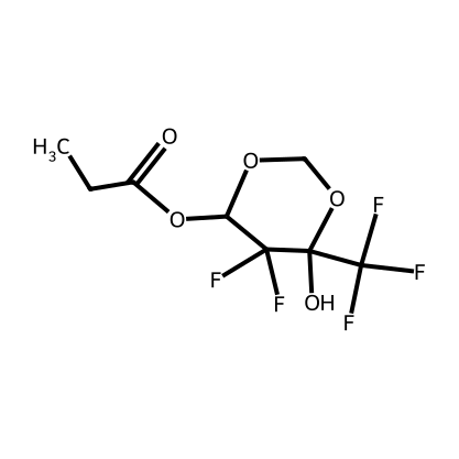 CCC(=O)OC1OCOC(O)(C(F)(F)F)C1(F)F